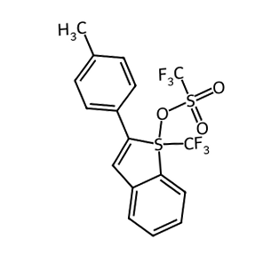 Cc1ccc(C2=Cc3ccccc3S2(OS(=O)(=O)C(F)(F)F)C(F)(F)F)cc1